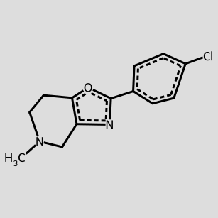 CN1CCc2oc(-c3ccc(Cl)cc3)nc2C1